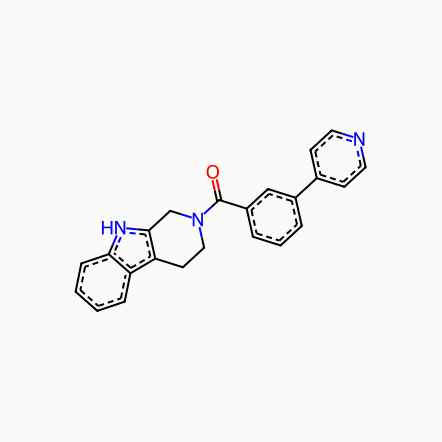 O=C(c1cccc(-c2ccncc2)c1)N1CCc2c([nH]c3ccccc23)C1